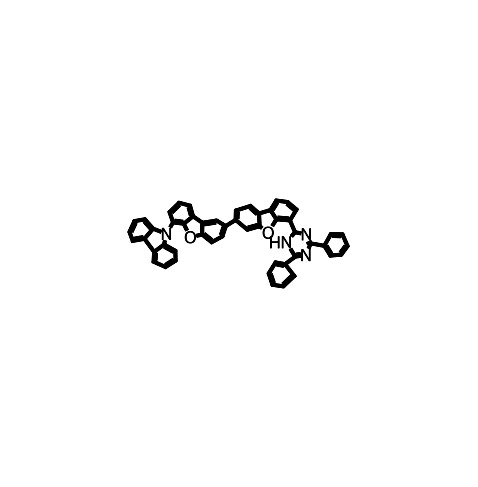 c1ccc(C2=NC(c3cccc4c3oc3cc(-c5ccc6oc7c(-n8c9ccccc9c9ccccc98)cccc7c6c5)ccc34)NC(c3ccccc3)=N2)cc1